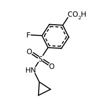 O=C(O)c1ccc(S(=O)(=O)NC2CC2)c(F)c1